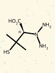 CC(C)(S)[C@@H](C(=O)O)N(N)N